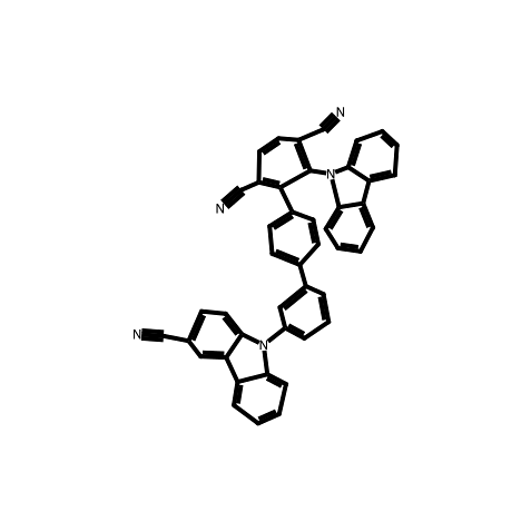 N#Cc1ccc2c(c1)c1ccccc1n2-c1cccc(-c2ccc(-c3c(C#N)ccc(C#N)c3-n3c4ccccc4c4ccccc43)cc2)c1